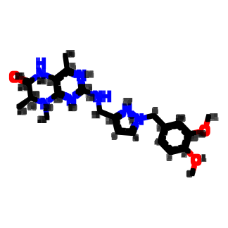 COc1ccc(Cn2ccc(CNc3nc(C)c4c(n3)N(C)[C@@H](C)C(=O)N4)n2)cc1OC